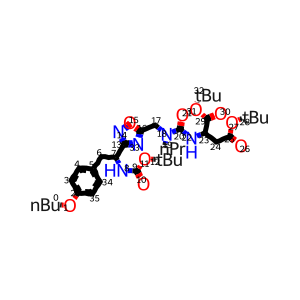 CCCCOc1ccc(CC(NC(=O)OC(C)(C)C)c2noc(CN(CCC)C(=O)NC(CC(=O)OC(C)(C)C)C(=O)OC(C)(C)C)n2)cc1